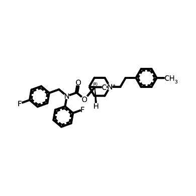 Cc1ccc(CC[N+]23CCC(CC2)[C@@H](OC(=O)N(Cc2ccc(F)cc2)c2ccccc2F)C3)cc1